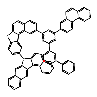 c1ccc(-c2cccc(-c3nc(-c4ccc5c(ccc6ccccc65)c4)nc(-c4ccc5ccc6oc7ccc(-n8c9cc%10ccccc%10cc9c9c%10ccccc%10ccc98)cc7c6c5c4)n3)c2)cc1